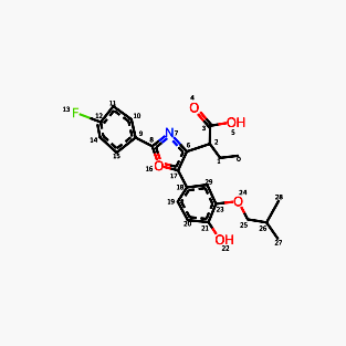 CCC(C(=O)O)c1nc(-c2ccc(F)cc2)oc1-c1ccc(O)c(OCC(C)C)c1